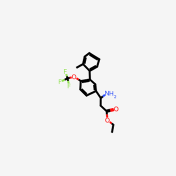 CCOC(=O)CC(N)c1ccc(OC(F)(F)F)c(-c2ccccc2C)c1